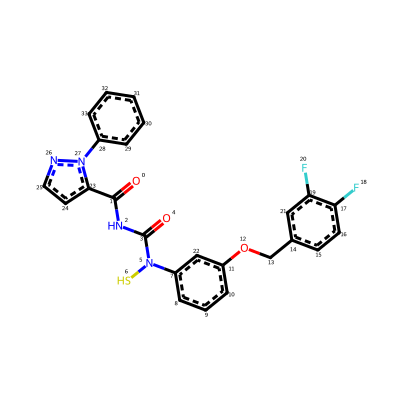 O=C(NC(=O)N(S)c1cccc(OCc2ccc(F)c(F)c2)c1)c1ccnn1-c1ccccc1